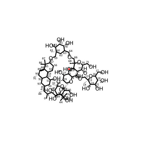 CC(CCC(OC[C@H]1OC(COC[C@@]2(C)OC(CO)[C@H](O)C(O)[C@H]2O)[C@H](O)C(O)[C@H]1O[C@@]1(C)OC(CO)[C@H](O)C(O)[C@H]1O)C(C)(C)O)[C@H](C)C1CC(O)C2C3CCC(OC[C@]4(C)CC(COC[C@]5(C)OC(CO)[C@@H](O)[C@@H](O)C5O)[C@@H](O)[C@@H](O)C4O)C(C)(C)C3=C[C@@H](C)C2C1